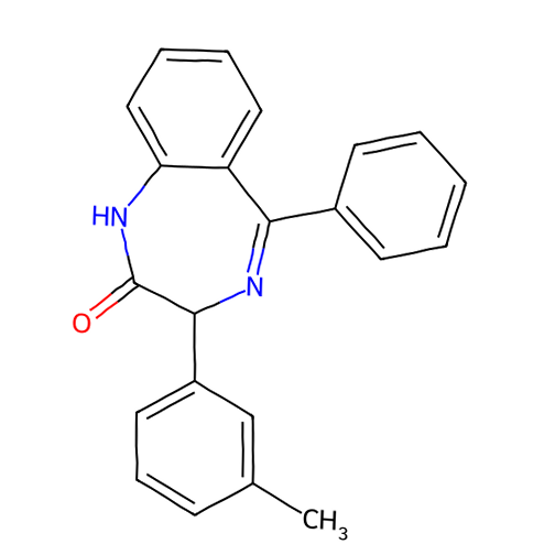 Cc1cccc(C2N=C(c3ccccc3)c3ccccc3NC2=O)c1